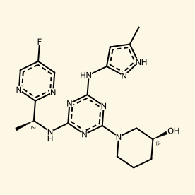 Cc1cc(Nc2nc(N[C@@H](C)c3ncc(F)cn3)nc(N3CCC[C@H](O)C3)n2)n[nH]1